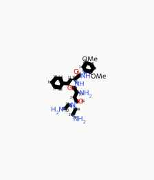 COc1ccc(OC)c(NC(=O)[C@H](CCc2ccccc2)NC(=O)[C@@H](N)CC(=O)N(CCN)CCN)c1